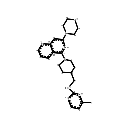 Cc1ccnc(NCC2CCN(c3nc(N4CCOCC4)cc4ncccc34)CC2)n1